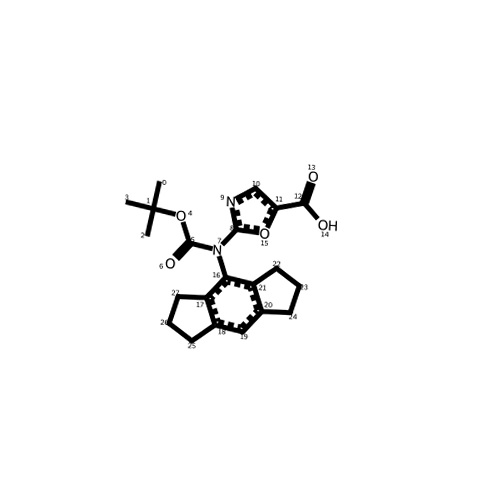 CC(C)(C)OC(=O)N(c1ncc(C(=O)O)o1)c1c2c(cc3c1CCC3)CCC2